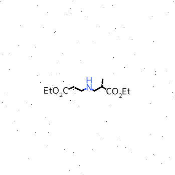 CCOC(=O)CCNCC(C)C(=O)OCC